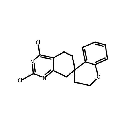 Clc1nc(Cl)c2c(n1)CC1(CCOc3ccccc31)CC2